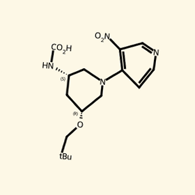 CC(C)(C)CO[C@@H]1C[C@H](NC(=O)O)CN(c2ccncc2[N+](=O)[O-])C1